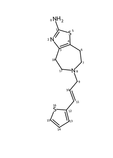 Nc1nc2c(s1)CCN(CC=Cc1cccs1)CC2